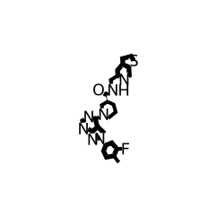 Cc1ccc(-n2cc3c(N4CCC[C@@H](C(=O)NCc5cc6ccsc6cn5)C4)ncnc3n2)cc1F